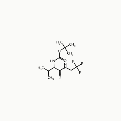 CC(C)C(NC(=O)OC(C)(C)C)C(=O)NCC(F)(F)F